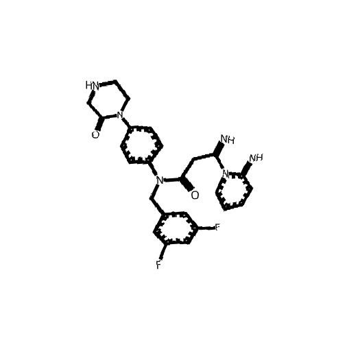 N=C(CC(=O)N(Cc1cc(F)cc(F)c1)c1ccc(N2CCNCC2=O)cc1)n1ccccc1=N